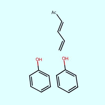 C=C/C=C/C(C)=O.Oc1ccccc1.Oc1ccccc1